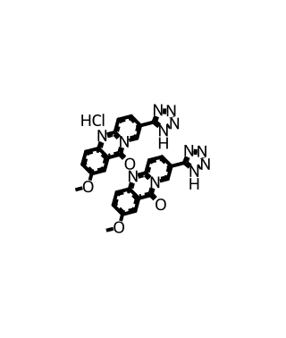 COc1ccc2nc3ccc(-c4nnn[nH]4)cn3c(=O)c2c1.COc1ccc2nc3ccc(-c4nnn[nH]4)cn3c(=O)c2c1.Cl